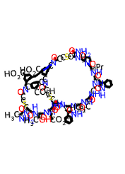 CC(C)[C@@H]1NC(=O)[C@H](Cc2c[nH]c3ccccc23)NC(=O)[C@@H]2CSCCC(=O)N3Cc4cc(cc(C(=O)O)c4)CN(Cc4cc(cc(C(=O)O)c4)CN(Cc4cc(cc(C(=O)O)c4)C3)C(=O)CCSC[C@H](NC(=O)[C@@H](C)N)C(=O)N[C@@H]([C@@H](C)O)C(=O)N[C@@H](CCC(=O)O)C(=O)N2)C(=O)CCSC[C@@H](C(N)=O)NC(=O)[C@@H]2CCCN2C(=O)[C@H](C(C)C)NC(=O)[C@H](Cc2c[nH]c3ccccc23)NC(=O)CNC(=O)[C@H](CC(=O)O)NC1=O